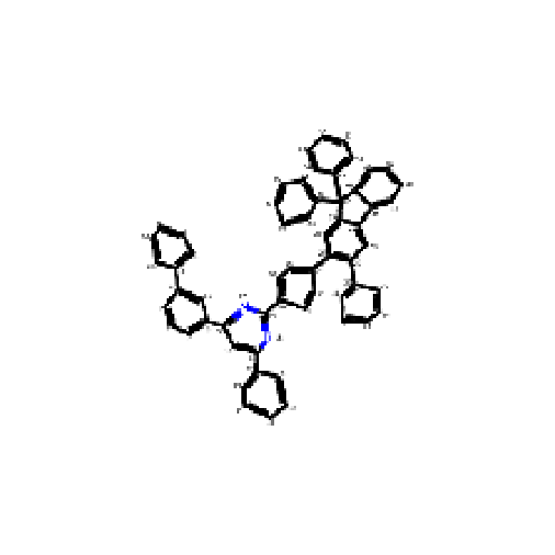 c1ccc(-c2cccc(-c3cc(-c4ccccc4)nc(-c4ccc(-c5cc6c(cc5-c5ccccc5)-c5ccccc5C6(c5ccccc5)c5ccccc5)cc4)n3)c2)cc1